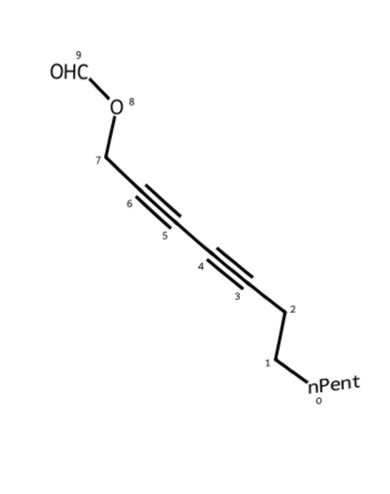 CCCCCCCC#CC#CCOC=O